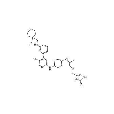 CC(COCc1n[nH]c(=O)[nH]1)NC1CCC(Nc2cc(-c3cccc(NCC4(C#N)CCOCC4)n3)c(Cl)cn2)CC1